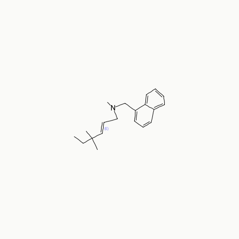 CCC(C)(C)/C=C/CN(C)Cc1cccc2ccccc12